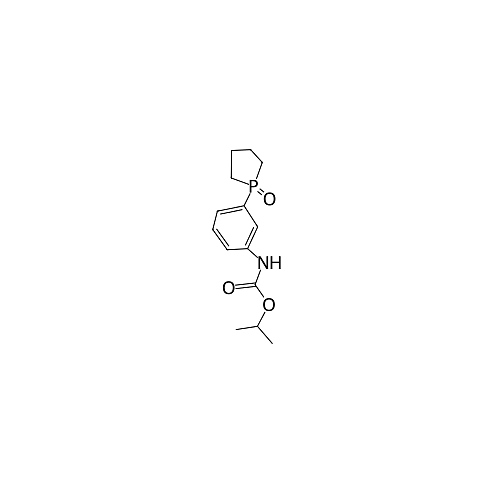 CC(C)OC(=O)Nc1cccc(P2(=O)CCCC2)c1